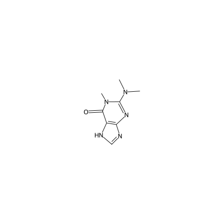 CN(C)c1nc2nc[nH]c2c(=O)n1C